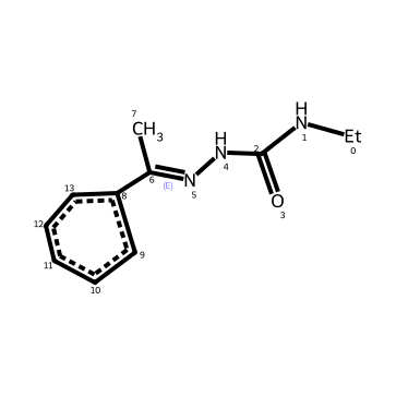 CCNC(=O)N/N=C(\C)c1ccccc1